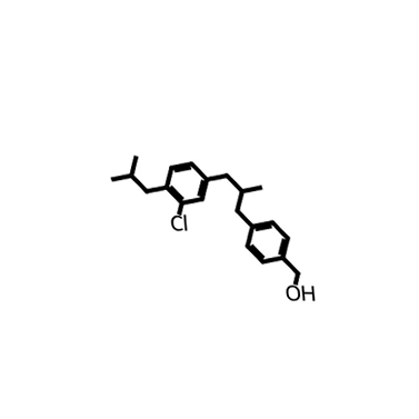 CC(C)Cc1ccc(CC(C)Cc2ccc(CO)cc2)cc1Cl